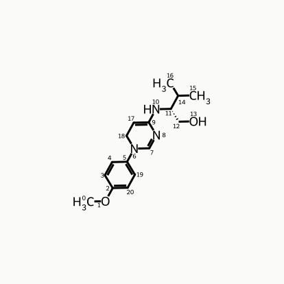 COc1ccc(N2C=NC(N[C@@H](CO)C(C)C)=CC2)cc1